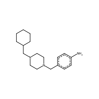 Nc1ccc(CN2CCN(CC3CCCCC3)CC2)cc1